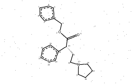 O=C(OCc1ccccc1)[C@H](CCN1CCCC1)c1cccnc1